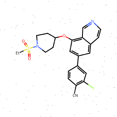 CCS(=O)(=O)N1CCC(Oc2cc(-c3ccc(C#N)c(F)c3)cc3ccncc23)CC1